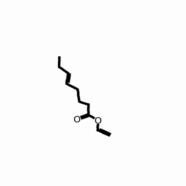 C=COC(=O)CCCC=CCC